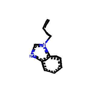 C=CCn1cnc2ccccc21